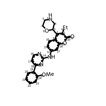 CCc1c(C2CNCCO2)c2ccc(Nc3nccc(-c4ccccc4OC)n3)cc2oc1=O